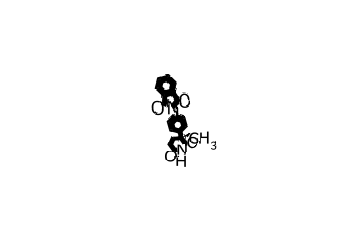 CC[C@]1(c2ccc(N3C(=O)c4ccccc4C3=O)cc2)CCC(=O)NC1=O